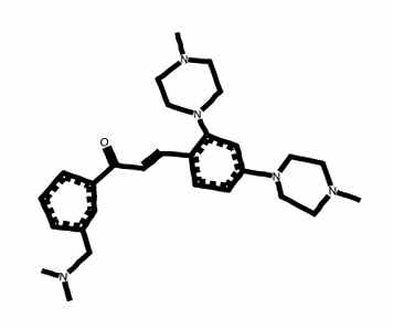 CN(C)Cc1cccc(C(=O)C=Cc2ccc(N3CCN(C)CC3)cc2N2CCN(C)CC2)c1